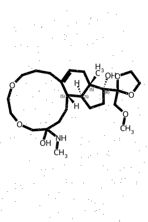 CNC1(O)CC[C@@H]2C(=CC[C@@]3(C)[C@H]2CC[C@]3(O)C2(COC)OCCO2)CCCOCCOC1